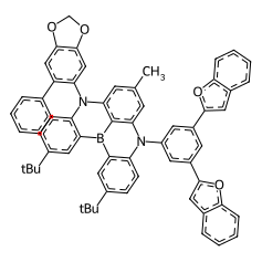 Cc1cc2c3c(c1)N(c1cc4c(cc1-c1ccccc1)OCO4)c1ccc(C(C)(C)C)cc1B3c1cc(C(C)(C)C)ccc1N2c1cc(-c2cc3ccccc3o2)cc(-c2cc3ccccc3o2)c1